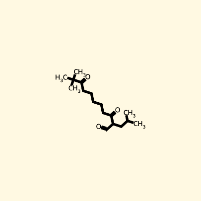 CC(C)CC([C]=O)C(=O)CCCCCC(=O)C(C)(C)C